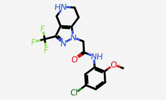 COc1ccc(Cl)cc1NC(=O)Cn1nc(C(F)(F)F)c2c1CCNC2